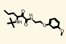 CCCC(NC(C)(C)C)C(=O)C(=O)NCCOc1cccc(OC)c1